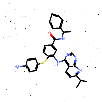 CC(C)c1ccc2c(Nc3cc(C(=O)NC(C)c4ccccc4)ccc3Sc3ccc(N)cc3)ncnc2n1